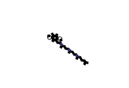 COc1c(C)c(C)c(OC)c(C/C=C(\C)CC/C=C(\C)CC/C=C(\C)CCC=C(C)C)c1C